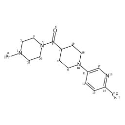 CC(C)N1CCN(C(=O)C2CCN(c3ccc(C(F)(F)F)nc3)CC2)CC1